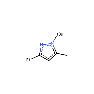 CCc1cc(C)n(C(C)(C)C)n1